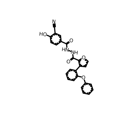 N#Cc1cc(C(=O)NNC(=O)c2occc2-c2ccccc2Oc2ccccc2)ccc1O